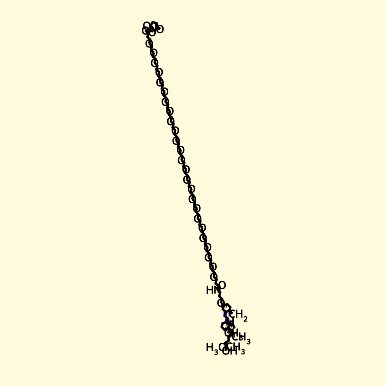 C=C1CC[C@H](OCCCNC(=O)CCOCCOCCOCCOCCOCCOCCOCCOCCOCCOCCOCCOCCOCCOCCOCCOCCOCCOCCOCCOCCOCCOCCOCCOCCOCCC(=O)ON2C(=O)CCC2=O)C/C1=C/C=C1\CCC[C@]2(C)[C@@H]([C@H](C)CCCC(C)(C)O)CC[C@@H]12